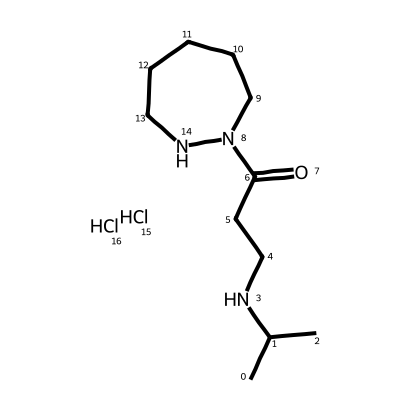 CC(C)NCCC(=O)N1CCCCCN1.Cl.Cl